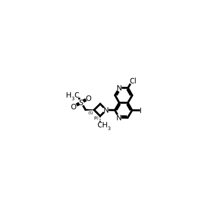 C[C@@H]1[C@@H](CS(C)(=O)=O)CN1c1ncc(I)c2cc(Cl)ncc12